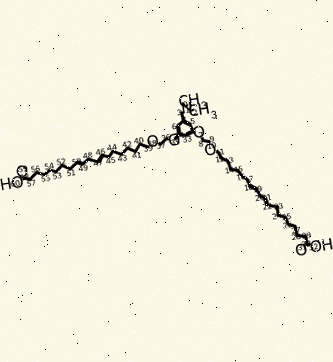 CN(C)Cc1cc(OCCOCCCCCCCC=CCC=CCCCCCCCC(=O)O)cc(OCCOCCCCCCCC=CCC=CCCCCCCCC(=O)O)c1